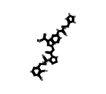 CC(=O)c1cn(CC(=O)N2CCC[C@H]2C(=O)NCc2cccc(Cl)c2F)c2ccc(OC(=O)NCc3cscn3)cc12